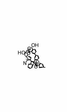 Cc1ccc(S(=O)(=O)n2c(-c3cccc(-c4ccc(CO)c(S(=O)(=O)CC(=O)O)c4)c3)c(-c3ccsc3C#N)c3ccccc32)cc1